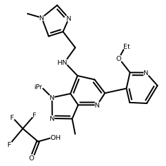 CCOc1ncccc1-c1cc(NCc2cn(C)cn2)c2c(n1)c(C)nn2C(C)C.O=C(O)C(F)(F)F